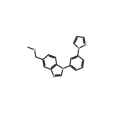 COCc1ccc2c(c1)ncn2-c1cccc(-n2cccn2)c1